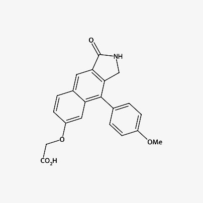 COc1ccc(-c2c3c(cc4ccc(OCC(=O)O)cc24)C(=O)NC3)cc1